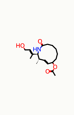 CC(=O)OC1/C=C/[C@H](C)[C@@H](/C(C)=C/CO)NC(=O)CCCCC1